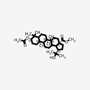 COC(=O)[C@]12CC[C@@H](C(C)(C)O)C1C1CCC3[C@@]4(C)CC[C@H](OC(C)=O)C(C)(C)C4CC[C@@]3(C)[C@]1(C)CC2